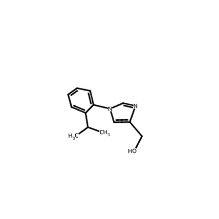 CC(C)c1ccccc1-n1cnc(CO)c1